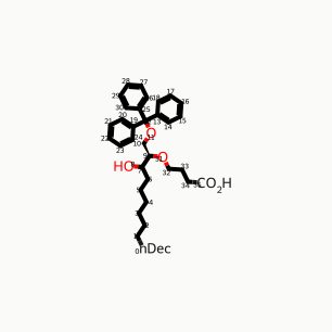 CCCCCCCCCCCCCCCCC(O)[C@@H](COC(c1ccccc1)(c1ccccc1)c1ccccc1)OCCCC(=O)O